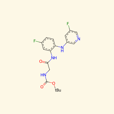 CC(C)(C)OC(=O)NCC(=O)Nc1cc(F)ccc1Nc1cncc(F)c1